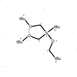 CC(C)(C)CO[Si](COC(C)(C)C)(COC(C)(C)C)C(C)(C)C